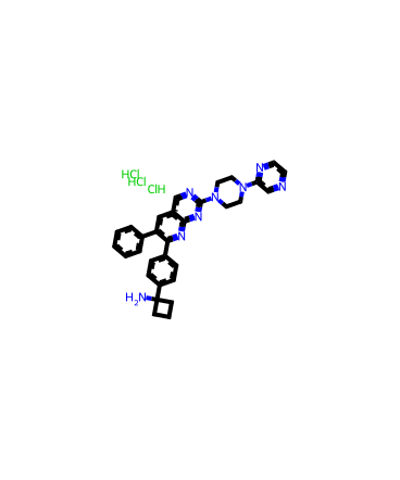 Cl.Cl.Cl.NC1(c2ccc(-c3nc4nc(N5CCN(c6cnccn6)CC5)ncc4cc3-c3ccccc3)cc2)CCC1